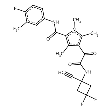 C#CC1(NC(=O)C(=O)c2c(C)c(C(=O)Nc3ccc(F)c(C(F)(F)F)c3)n(C)c2C)CC(F)(F)C1